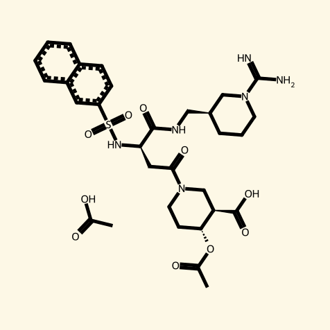 CC(=O)O.CC(=O)O[C@@H]1CCN(C(=O)C[C@@H](NS(=O)(=O)c2ccc3ccccc3c2)C(=O)NC[C@@H]2CCCN(C(=N)N)C2)C[C@H]1C(=O)O